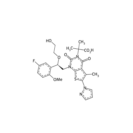 COc1ccc(F)cc1[C@H](Cn1c(=O)n(C(C)(C)C(=O)O)c(=O)c2c(C)c(-n3cccn3)sc21)OCCO